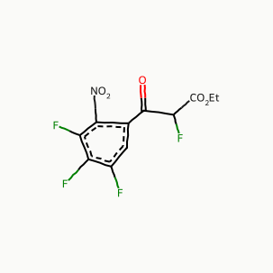 CCOC(=O)C(F)C(=O)c1cc(F)c(F)c(F)c1[N+](=O)[O-]